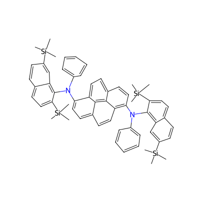 C[Si](C)(C)c1ccc2ccc([Si](C)(C)C)c(N(c3ccccc3)c3ccc4ccc5c(N(c6ccccc6)c6c([Si](C)(C)C)ccc7ccc([Si](C)(C)C)cc67)ccc6ccc3c4c65)c2c1